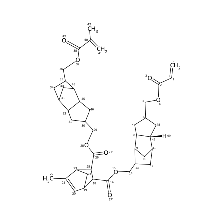 C=CC(=O)OCC1CC2C3CC(CC3COC(=O)C3C4C=C(C)C(C4)C3C(=O)OCC3CC4C5CC(COC(=O)C(=C)C)C(C5)C4C3)[C@H]2C1